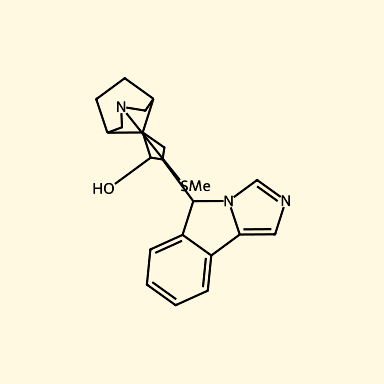 CSN1CC2CCC(C1)C21CC(C2c3ccccc3-c3cncn32)C1O